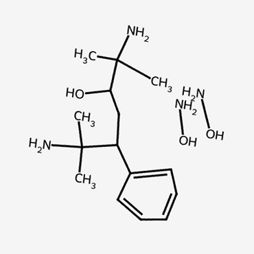 CC(C)(N)C(O)CC(c1ccccc1)C(C)(C)N.NO.NO